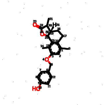 Cc1cc(OCc2ccc(O)cc2)c(C)c2c1CC[C@H]1C(C)C(=O)OC21